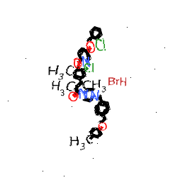 Br.CC(C(=O)N1CCN(Cc2ccc(CCOc3ccc(C)cc3)cc2)CC1)=C(C)c1cc(C)c(Oc2ccc(OCc3ccccc3Cl)cn2)c(Cl)c1